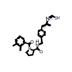 CC(=C\c1ccc(CNC(=O)C2CCCN2C(=O)c2cccc(C)c2C)cc1)/N=C\S